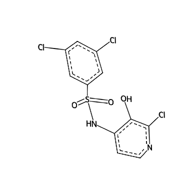 O=S(=O)(Nc1ccnc(Cl)c1O)c1cc(Cl)cc(Cl)c1